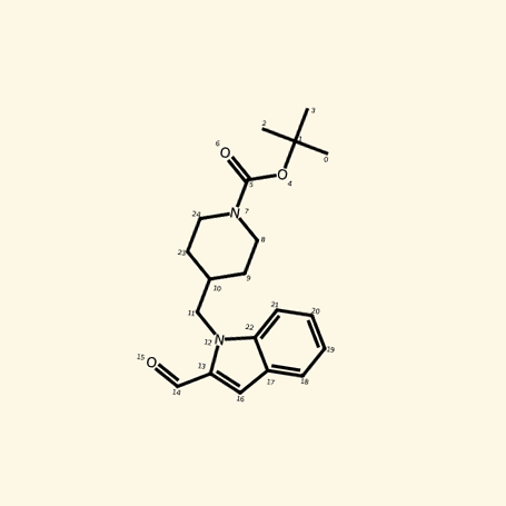 CC(C)(C)OC(=O)N1CCC(Cn2c(C=O)cc3ccccc32)CC1